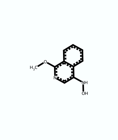 COc1ncc(NO)c2ccccc12